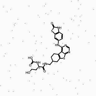 O=C(O)N[C@H](CCO)C(=O)NCC1CCc2c(sc3ncnc(Nc4ccc5[nH]c(=O)sc5c4)c23)C1